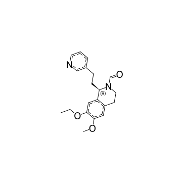 CCOc1cc2c(cc1OC)CCN(C=O)[C@@H]2CCc1cccnc1